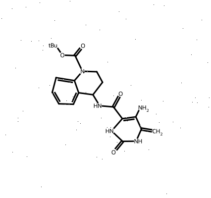 C=C1NC(=O)NC(C(=O)NC2CCN(C(=O)OC(C)(C)C)c3ccccc32)=C1N